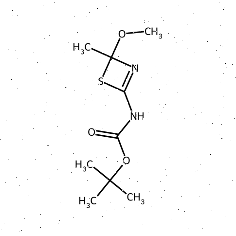 COC1(C)N=C(NC(=O)OC(C)(C)C)S1